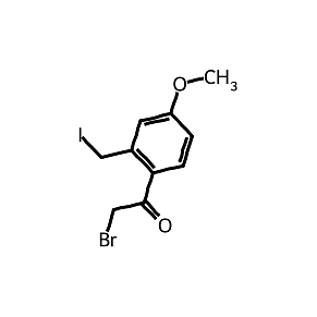 COc1ccc(C(=O)CBr)c(CI)c1